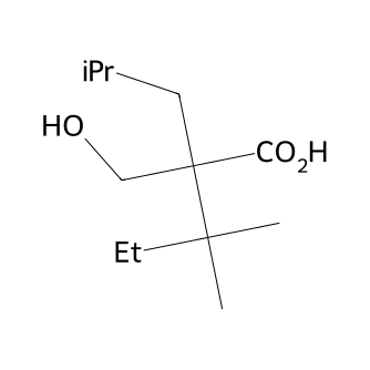 CCC(C)(C)C(CO)(CC(C)C)C(=O)O